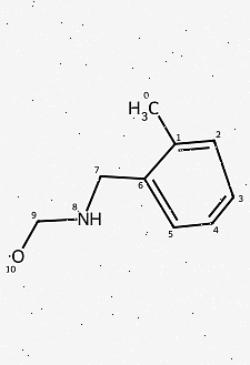 Cc1ccccc1CNC[O]